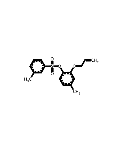 C=CCOc1cc(C)ccc1OS(=O)(=O)c1cccc(C)c1